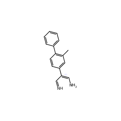 Cc1cc(/C(C=N)=C/N)ccc1-c1ccccc1